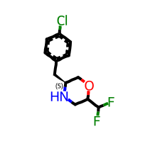 FC(F)C1CN[C@@H](Cc2ccc(Cl)cc2)CO1